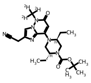 [2H]C([2H])([2H])n1c(=O)cc(N2C[C@@H](CC)N(C(=O)OC(C)(C)C)C[C@@H]2CC)c2nc(CC#N)cn21